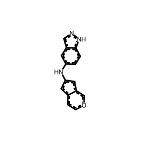 c1cc2cc(Nc3ccc4[nH]ncc4c3)cc-2co1